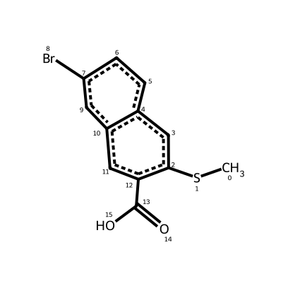 CSc1cc2ccc(Br)cc2cc1C(=O)O